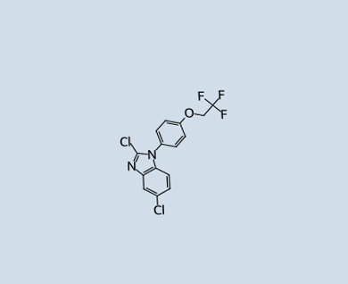 FC(F)(F)COc1ccc(-n2c(Cl)nc3cc(Cl)ccc32)cc1